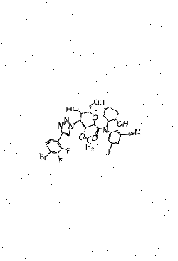 CO[C@@H]1[C@@H](n2cc(-c3ccc(Br)c(F)c3F)nn2)[C@@H](O)[C@@H](CO)O[C@H]1C(=O)N(c1cc(F)cc(C#N)c1)[C@H]1CCCC[C@@H]1O